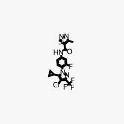 Cc1nnsc1C(=O)Nc1ccc(-n2nc(C(F)(F)F)c(Cl)c2C2CC2)c(F)c1